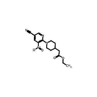 CCOC(=O)CC1CCN(c2ncc(C#N)cc2[N+](=O)[O-])CC1